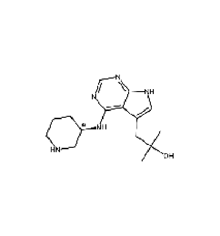 CC(C)(O)Cc1c[nH]c2ncnc(N[C@@H]3CCCNC3)c12